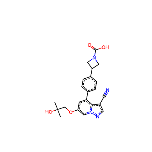 CC(C)(O)COc1cc(-c2ccc(C3CN(C(=O)O)C3)cc2)c2c(C#N)cnn2c1